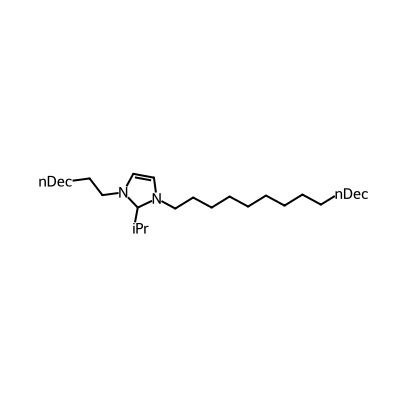 CCCCCCCCCCCCCCCCCCCN1C=CN(CCCCCCCCCCCC)C1C(C)C